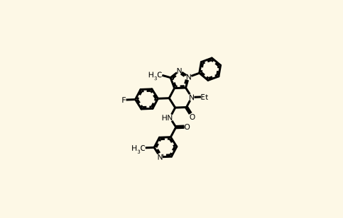 CCN1C(=O)C(NC(=O)c2ccnc(C)c2)C(c2ccc(F)cc2)c2c(C)nn(-c3ccccc3)c21